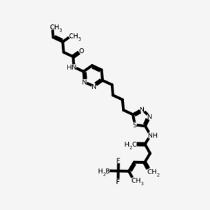 BC(F)(F)/C(C)=C/C(=C)CC(=C)Nc1nnc(CCCCc2ccc(NC(=O)C/C(C)=C/C)nn2)s1